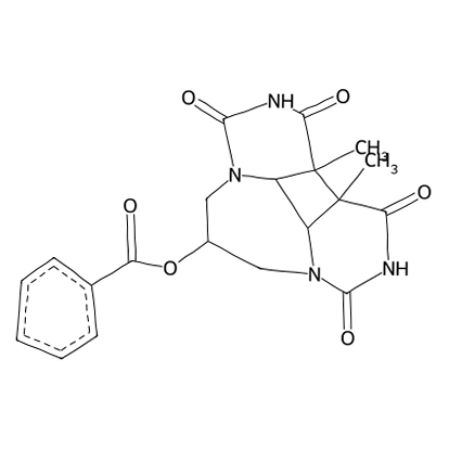 CC12C(=O)NC(=O)N3CC(OC(=O)c4ccccc4)CN4C(=O)NC(=O)C1(C)C4C32